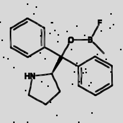 CB(F)OC(c1ccccc1)(c1ccccc1)[C@H]1CCCN1